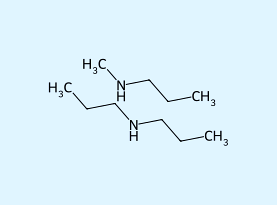 CCCNC.CCCNCCC